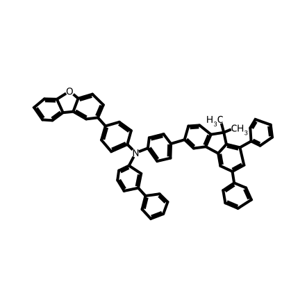 CC1(C)c2ccc(-c3ccc(N(c4ccc(-c5ccc6oc7ccccc7c6c5)cc4)c4cccc(-c5ccccc5)c4)cc3)cc2-c2cc(-c3ccccc3)cc(-c3ccccc3)c21